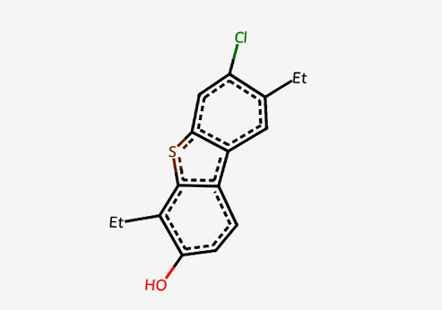 CCc1cc2c(cc1Cl)sc1c(CC)c(O)ccc12